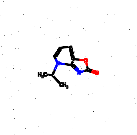 CC(C)n1cccc2oc(=O)nc1-2